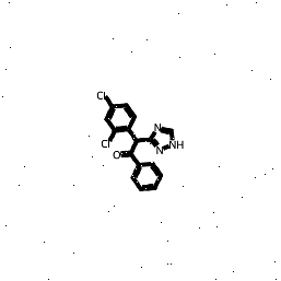 O=C(c1ccccc1)C(c1nc[nH]n1)c1ccc(Cl)cc1Cl